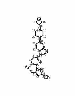 CC(=O)c1ccc(-n2cnc3cc(N4CCN(C5COC5)CC4)ccc32)nc1-n1nc(C#N)cc1C